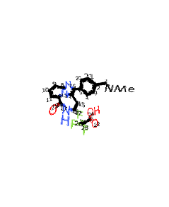 CNCc1ccc(-c2nc3cccc4n3c2CCNC4=O)cc1.O=C(O)C(F)(F)F